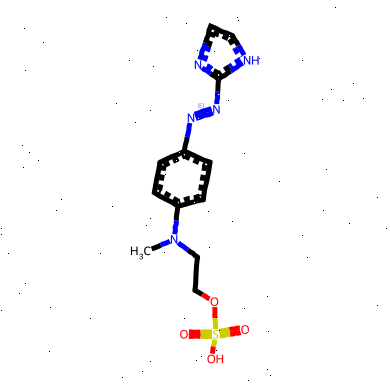 CN(CCOS(=O)(=O)O)c1ccc(/N=N/c2ncc[nH]2)cc1